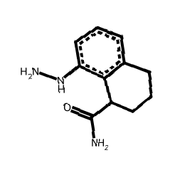 NNc1cccc2c1C(C(N)=O)CCC2